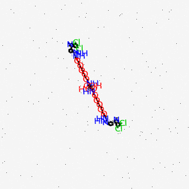 CN1Cc2c(Cl)cc(Cl)cc2C(c2cccc(/C(=C/NCCOCCOCCOCCOCCOCCNC(=O)[C@H](O)[C@@H](O)C(=O)NCCOCCOCCOCCOCCOCCN/C=C(\N=N)c3cccc([C@@H]4CN(C)Cc5c(Cl)cc(Cl)cc54)c3)N=N)c2)C1